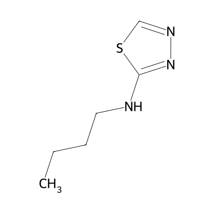 CCCCNc1nncs1